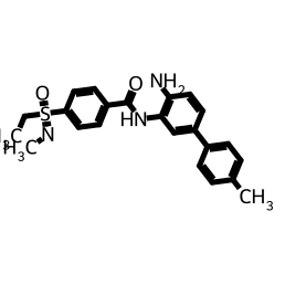 CCS(=O)(=NC)c1ccc(C(=O)Nc2cc(-c3ccc(C)cc3)ccc2N)cc1